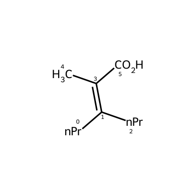 CCCC(CCC)=C(C)C(=O)O